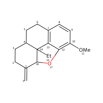 C=C1CCC2CCc3ccc(OC)c4c3C2(CC)C1O4